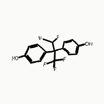 Oc1ccc(C(c2ccc(O)cc2)(C(F)F)C(F)(F)F)cc1